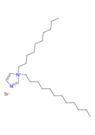 CCCCCCCCCCCC[N+]1(CCCCCCCCCC)C=CN=C1.[Br-]